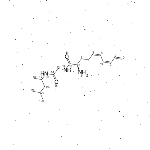 C=C/C=C\C=C/CC[C@@H](N)C(=O)NCC(=O)NC(C)CC(C)C